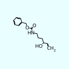 C=C[C@@H](O)CCCNC(=O)OCc1ccccc1